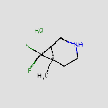 CC12CCNCC1C2(F)F.Cl